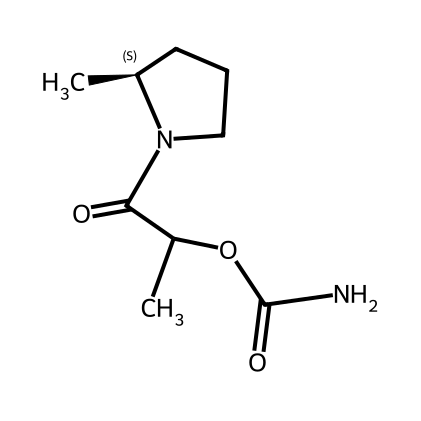 CC(OC(N)=O)C(=O)N1CCC[C@@H]1C